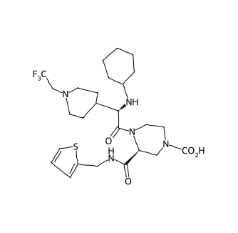 O=C(NCc1cccs1)[C@@H]1CN(C(=O)O)CCN1C(=O)[C@H](NC1CCCCC1)C1CCN(CC(F)(F)F)CC1